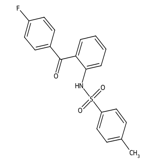 Cc1ccc(S(=O)(=O)Nc2ccccc2C(=O)c2ccc(F)cc2)cc1